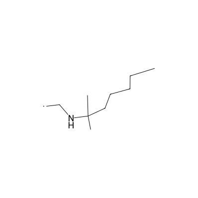 [CH2]CNC(C)(C)CCCCC